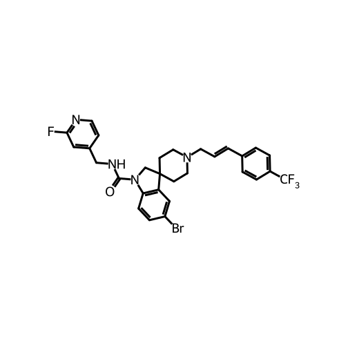 O=C(NCc1ccnc(F)c1)N1CC2(CCN(CC=Cc3ccc(C(F)(F)F)cc3)CC2)c2cc(Br)ccc21